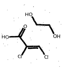 O=C(O)C(Cl)=CCl.OCCO